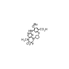 CCC(C)Oc1cc(C(=O)O)c(F)cc1Nc1ncc2c(n1)N(C1CCCC1)CC(F)(F)C(=O)N2C